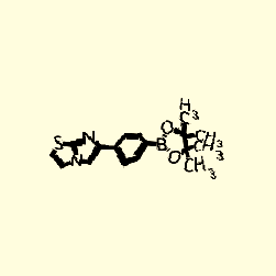 CC1(C)OB(c2ccc(-c3cn4ccsc4n3)cc2)OC1(C)C